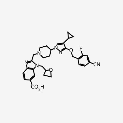 N#Cc1ccc(COc2nn(C3CCN(Cc4nc5ccc(C(=O)O)cc5n4CC4CCO4)CC3)cc2C2CC2)c(F)c1